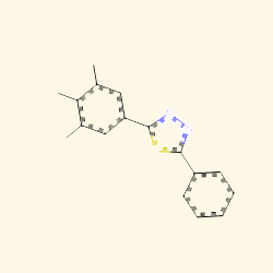 Cc1cc(-c2nnc(-c3ccccc3)s2)cc(C)c1C